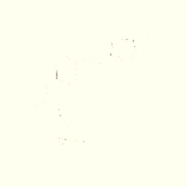 COc1ccc(CNc2ccc(CN3CCN4CC(F)(F)CC4C3)cc2)cc1